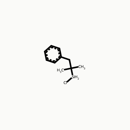 CC(C)(Cc1ccccc1)[SiH2]Cl